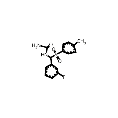 Cc1ccc(S(=O)(=O)C(NC(N)=O)c2cccc(F)c2)cc1